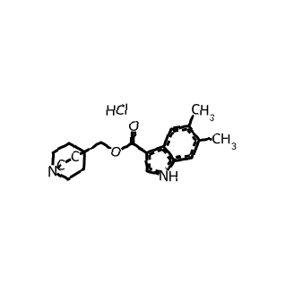 Cc1cc2[nH]cc(C(=O)OCC34CCN(CC3)CC4)c2cc1C.Cl